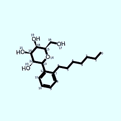 CCCCCCCc1ccccc1[C]1O[C@H](CO)[C@H](O)[C@H](O)[C@H]1O